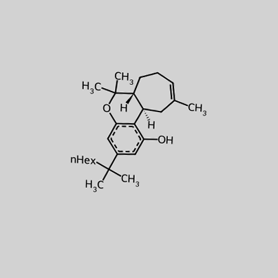 CCCCCCC(C)(C)c1cc(O)c2c(c1)OC(C)(C)[C@@H]1CCC=C(C)C[C@@H]21